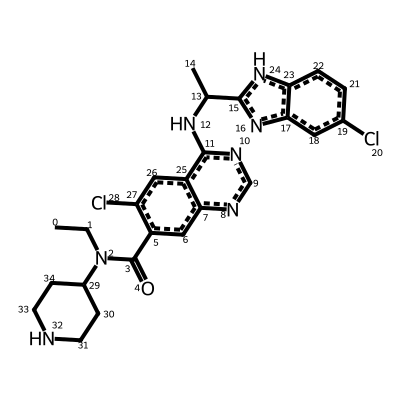 CCN(C(=O)c1cc2ncnc(NC(C)c3nc4cc(Cl)ccc4[nH]3)c2cc1Cl)C1CCNCC1